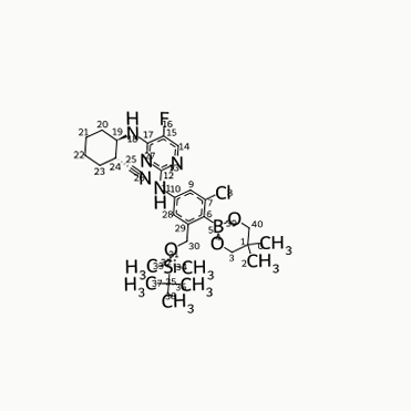 CC1(C)COB(c2c(Cl)cc(Nc3ncc(F)c(N[C@@H]4CCCC[C@H]4C#N)n3)cc2CO[Si](C)(C)C(C)(C)C)OC1